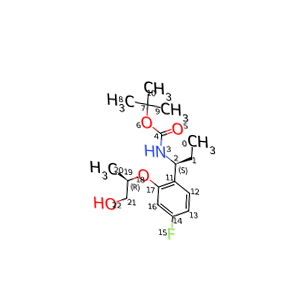 CC[C@H](NC(=O)OC(C)(C)C)c1ccc(F)cc1O[C@H](C)CO